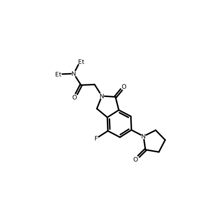 CCN(CC)C(=O)CN1Cc2c(F)cc(N3CCCC3=O)cc2C1=O